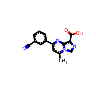 Cc1cc(-c2cccc(C#N)c2)nc2c(C(=O)O)ncn12